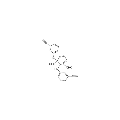 C#Cc1cccc(NC2C(C=O)=CC=CC2(C=O)Nc2cccc(C#C)c2)c1